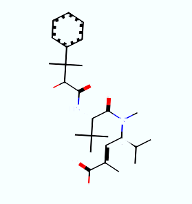 CC(=C[C@H](C(C)C)N(C)C(=O)[C@@H](NC(=O)C(O)C(C)(C)c1ccccc1)C(C)(C)C)C(=O)O